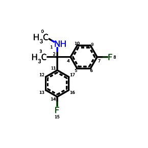 CNC(C)(c1ccc(F)cc1)c1ccc(F)cc1